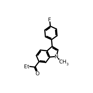 CCC(=O)c1ccc2c(-c3ccc(F)cc3)cn(C)c2c1